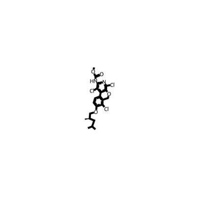 COC(=O)Nc1nc(Cl)c2c(c1Cl)-c1ccc(OC[C@H](C)CC(C)C)c(Cl)c1CO2